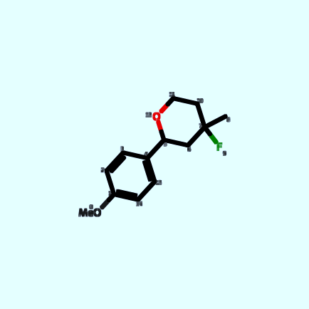 COc1ccc(C2CC(C)(F)CCO2)cc1